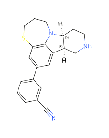 N#Cc1cccc(-c2cc3c4c(c2)[C@@H]2CNCC[C@@H]2N4CCCS3)c1